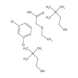 CCOCC(=O)O.C[N+](C)(C)CCO.C[N+](C)(C)CCO.Clc1cccc(Cl)c1